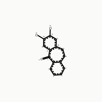 O=c1c2ccccc2ccc2cc(Cl)c(Cl)cc12